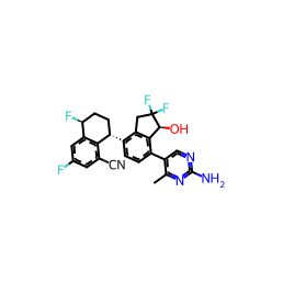 Cc1nc(N)ncc1-c1ccc([C@H]2CC[C@H](F)c3cc(F)cc(C#N)c32)c2c1[C@H](O)C(F)(F)C2